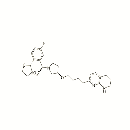 O=C(O)[C@@H](c1cc(F)ccc1[C@@H]1CCCO1)N1CC[C@@H](OCCCCc2ccc3c(n2)NCCC3)C1